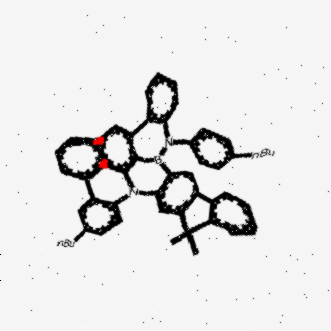 CCCCc1ccc(N2B3c4cc5c(cc4N(c4ccc(CCCC)cc4-c4ccccc4)c4cc(C)cc(c43)-c3ccccc32)C(C)(C)c2ccccc2-5)cc1